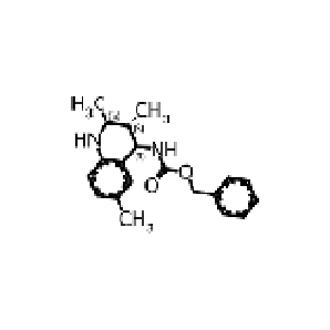 Cc1ccc2c(c1)[C@H](NC(=O)OCc1ccccc1)[C@@H](C)[C@H](C)N2